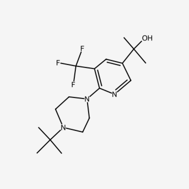 CC(C)(O)c1cnc(N2CCN(C(C)(C)C)CC2)c(C(F)(F)F)c1